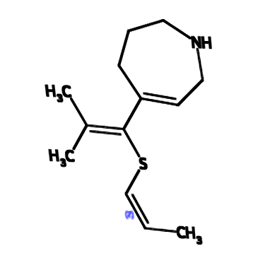 C/C=C\SC(C1=CCNCCC1)=C(C)C